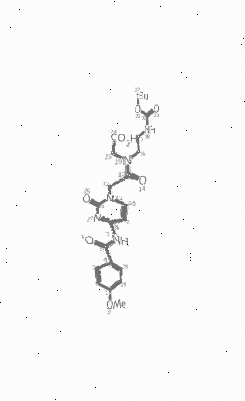 COc1ccc(C(=O)Nc2ccn(CC(=O)N(CCNC(=O)OC(C)(C)C)CC(=O)O)c(=O)n2)cc1